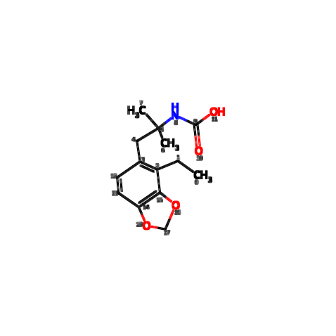 CCc1c(CC(C)(C)NC(=O)O)ccc2c1OCO2